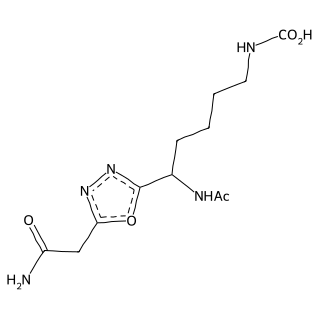 CC(=O)NC(CCCCNC(=O)O)c1nnc(CC(N)=O)o1